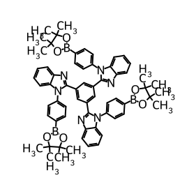 CC1(C)OB(c2ccc(-n3c(-c4cc(-c5nc6ccccc6n5-c5ccc(B6OC(C)(C)C(C)(C)O6)cc5)cc(-c5nc6ccccc6n5-c5ccc(B6OC(C)(C)C(C)(C)O6)cc5)c4)nc4ccccc43)cc2)OC1(C)C